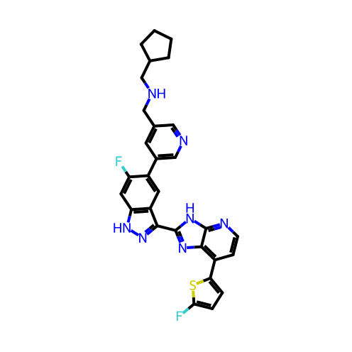 Fc1ccc(-c2ccnc3[nH]c(-c4n[nH]c5cc(F)c(-c6cncc(CNCC7CCCC7)c6)cc45)nc23)s1